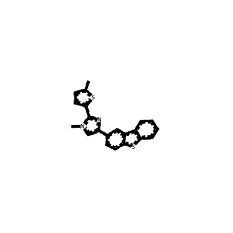 Cc1ccc(-c2nc(-c3ccc4sc5ccccc5c4c3)cn2C)s1